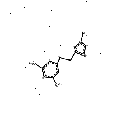 COc1cc(CCc2cc(N)c[nH]2)cc(OC)c1